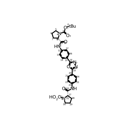 CC(C)(C)OC(=O)N1CCC[C@H]1C(=O)Nc1ccc(-c2nnc(-c3ccc(NC(=O)[C@@H]4CCCN4C(=O)O)cc3)o2)cc1